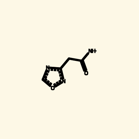 [NH]C(=O)Cc1ncon1